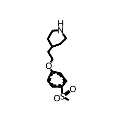 CS(=O)(=O)c1ccc(OCCC2CCNCC2)cc1